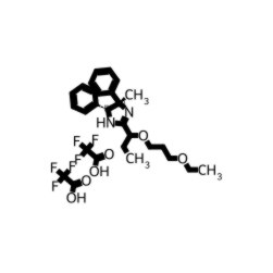 CCOCCCOC(CC)C1=N[C@@](C)(c2ccccc2)[C@@H](c2ccccc2)N1.O=C(O)C(F)(F)F.O=C(O)C(F)(F)F